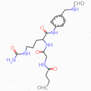 NC(=O)NCCCC(NC(=O)CNC(=O)CCC=O)C(=O)Nc1ccc(CNC=O)cc1